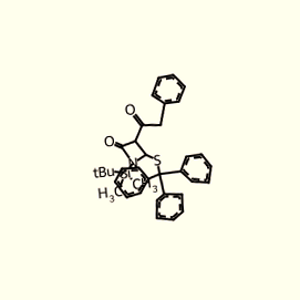 CC(C)(C)[Si](C)(C)N1C(=O)C(C(=O)Cc2ccccc2)C1SC(c1ccccc1)(c1ccccc1)c1ccccc1